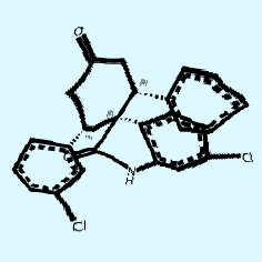 O=C1C[C@H](c2ccccc2)[C@@]2(C(=O)Nc3cc(Cl)ccc32)[C@H](c2cccc(Cl)c2)C1